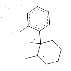 O=Cc1ccccc1C1(O)CCCCC1I